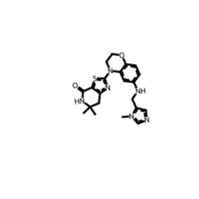 Cn1cncc1CNc1ccc2c(c1)N(c1nc3c(s1)C(=O)NC(C)(C)C3)CCO2